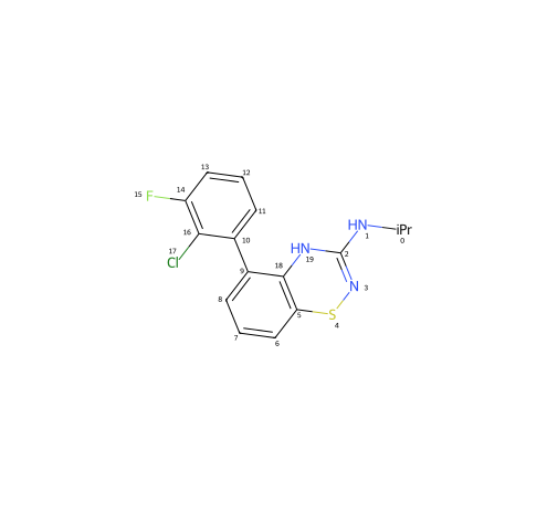 CC(C)NC1=NSc2cccc(-c3cccc(F)c3Cl)c2N1